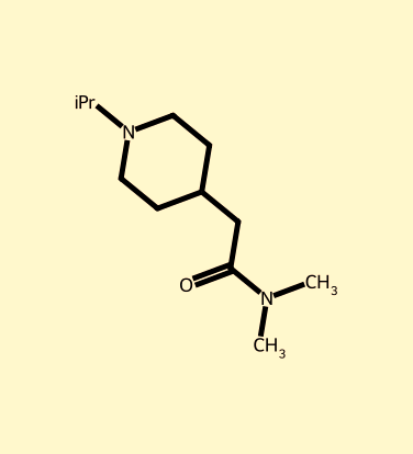 CC(C)N1CCC(CC(=O)N(C)C)CC1